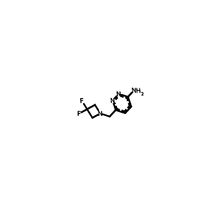 Nc1ccc(CN2CC(F)(F)C2)nn1